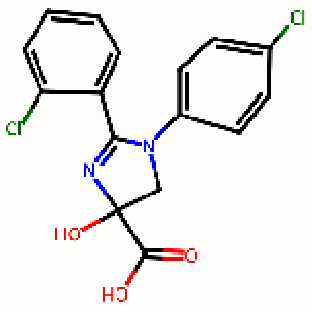 O=C(O)C1(O)CN(c2ccc(Cl)cc2)C(c2ccccc2Cl)=N1